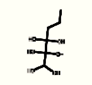 CCCC(O)(O)C(O)(O)[C](O)O